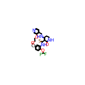 COCCOc1cnccc1CNC1=C(C(=S)Nc2ccccc2OC(F)F)C(=O)NCC1